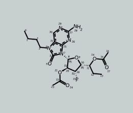 CCCCn1c(=O)n([C@@H]2O[C@H](C(CC)OC(C)=O)[C@H](F)[C@H]2OC(C)=O)c2nc(N)ncc21